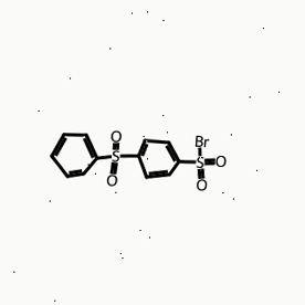 O=S(=O)(Br)c1ccc(S(=O)(=O)c2ccccc2)cc1